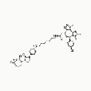 Cc1sc2c(c1C)C(c1ccc(Cl)cc1)=N[C@@H](CC(=O)NCCCCCCCNc1ccc(N3CCC(N4CCCC(=O)NC4=O)C3=O)cc1)c1nnc(C)n1-2